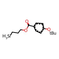 CC(C)(C)Oc1ccc(C(=O)OCCC[SiH3])cc1